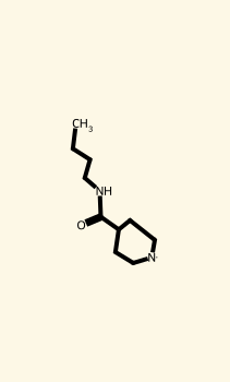 CCCCNC(=O)C1CC[N]CC1